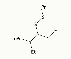 CCCC(CC)C(CF)SSC(C)C